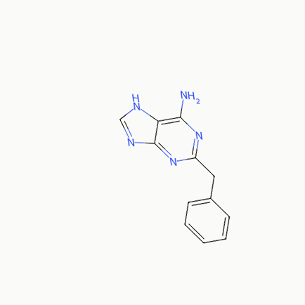 Nc1nc(Cc2ccccc2)nc2nc[nH]c12